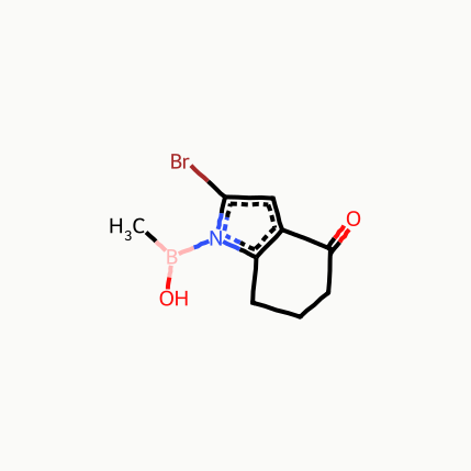 CB(O)n1c(Br)cc2c1CCCC2=O